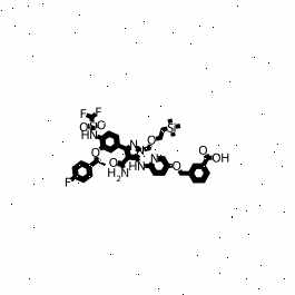 C[C@H](Oc1cc(-c2nn(COCC[Si](C)(C)C)c(Nc3ccc(OCc4cccc(C(=O)O)c4)cn3)c2C(N)=O)ccc1NS(=O)(=O)C(F)F)c1ccc(F)cc1